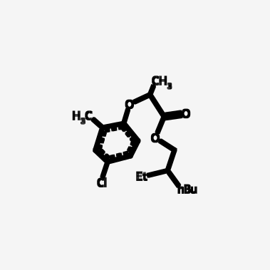 CCCCC(CC)COC(=O)C(C)Oc1ccc(Cl)cc1C